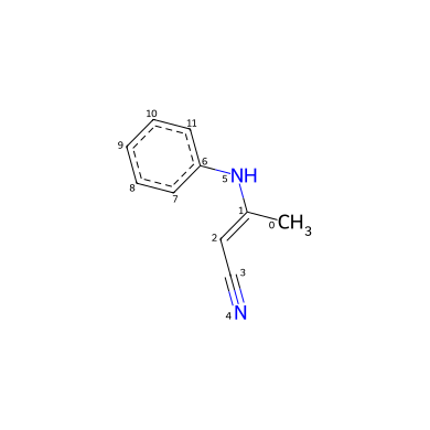 CC(=CC#N)Nc1ccccc1